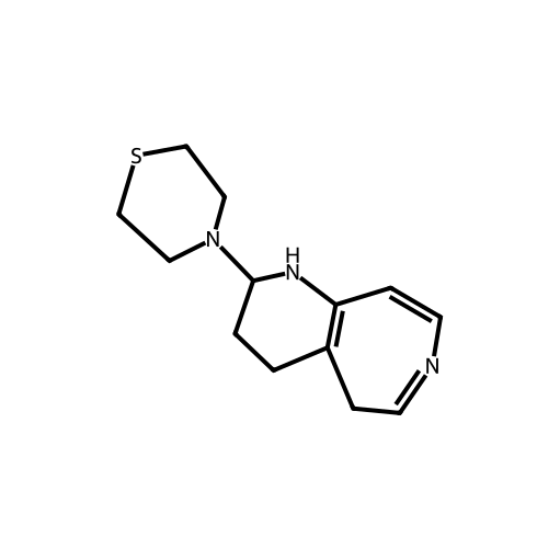 C1=CC2=C(CC=N1)CCC(N1CCSCC1)N2